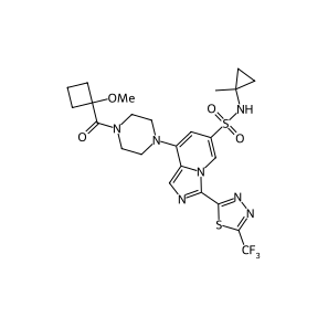 COC1(C(=O)N2CCN(c3cc(S(=O)(=O)NC4(C)CC4)cn4c(-c5nnc(C(F)(F)F)s5)ncc34)CC2)CCC1